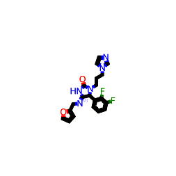 O=C1N/C(=N\Cc2ccco2)C(c2cccc(F)c2F)N1CCCn1ccnc1